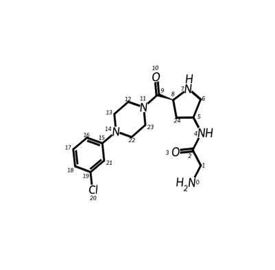 NCC(=O)NC1CN[C@H](C(=O)N2CCN(c3cccc(Cl)c3)CC2)C1